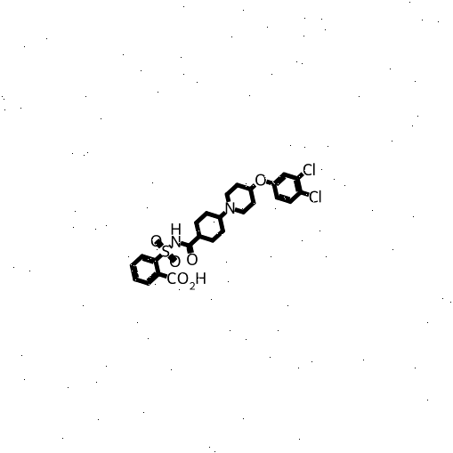 O=C(O)c1ccccc1S(=O)(=O)NC(=O)C1CCC(N2CCC(Oc3ccc(Cl)c(Cl)c3)CC2)CC1